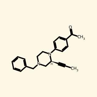 CC#C[C@H]1CN(Cc2ccccc2)CCN1c1ccc(C(C)=O)cc1